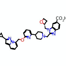 O=C(O)c1ccc2nc(CN3CCC(c4cccc(OCc5cccc6cc(C7CC7)nn56)n4)CC3)n(C[C@@H]3CCO3)c2c1